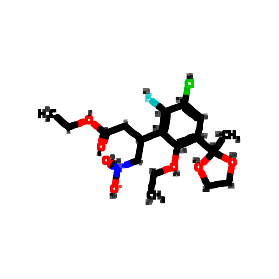 CCOC(=O)CC(C[N+](=O)[O-])c1c(F)c(Cl)cc(C2(C)OCCO2)c1OCC